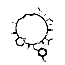 CO[C@@H]1[C@@H](C)[C@@H](OC)/C=C/C=C/C[C@@H](C)OC(=O)[C@@H]2CCCN(N2)C(=O)[C@H](Cc2cccc(O)c2)NC(=O)[C@H](C(C)C)NC(=O)[C@@H]1C